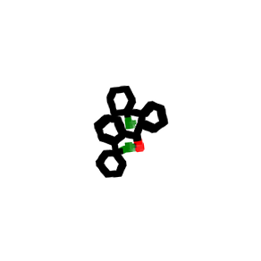 O=C(c1ccccc1C1(Br)CCCCC1)c1ccccc1C1(Br)CCCCC1